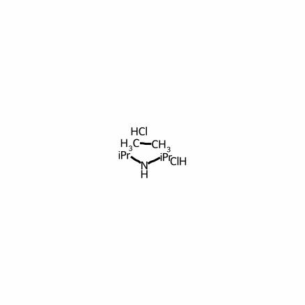 CC.CC(C)NC(C)C.Cl.Cl